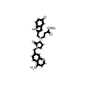 COC(=O)CCN(Cc1cc2cc(Cl)ccc2[nH]1)[C@@H]1CCN(Cc2ccc3c(N)ccnc3c2)C1=O